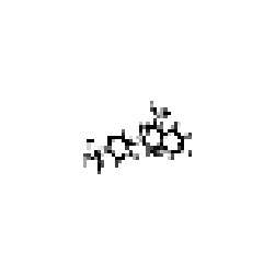 CNc1nc(-c2ccc(C(F)(F)F)cc2)nc2ccccc12